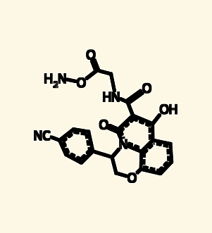 N#Cc1ccc(C2COc3cccc4c(O)c(C(=O)NCC(=O)ON)c(=O)n2c34)cc1